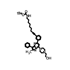 Cc1nn2c(N3CCN(CCO)CC3)cc(-c3cccc(C#CCCCCCCCNC(=O)OC(C)(C)C)c3)nc2c1-c1ccccc1